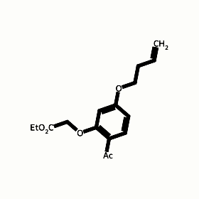 C=CCCOc1ccc(C(C)=O)c(OCC(=O)OCC)c1